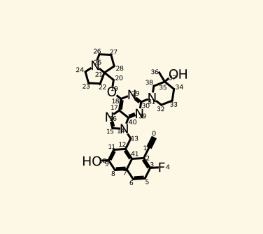 C#Cc1c(F)ccc2cc(O)cc(Cn3cnc4c(OCC56CCCN5CCC6)nc(N5CCCC(C)(O)C5)nc43)c12